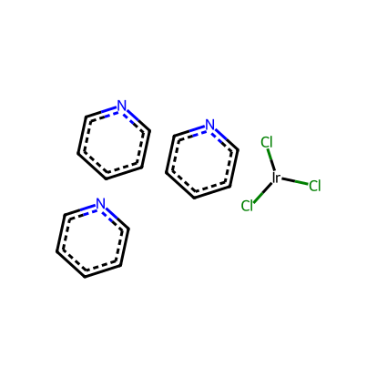 [Cl][Ir]([Cl])[Cl].c1ccncc1.c1ccncc1.c1ccncc1